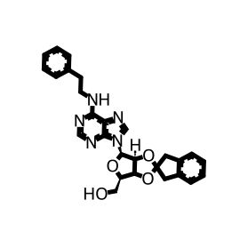 OC[C@H]1O[C@@H](n2cnc3c(NCCc4ccccc4)ncnc32)[C@H]2OC3(Cc4ccccc4C3)OC12